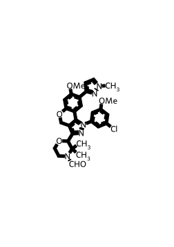 COc1cc(Cl)cc(-n2nc(C3OCCN(C=O)C3(C)C)c3c2-c2cc(-c4ccn(C)n4)c(OC)cc2OC3)c1